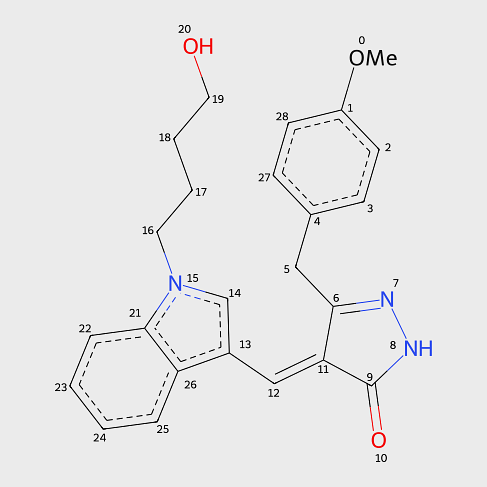 COc1ccc(CC2=NNC(=O)C2=Cc2cn(CCCCO)c3ccccc23)cc1